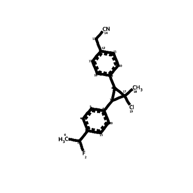 CC(F)c1ccc(C2C(c3ccc(CC#N)cc3)C2(C)Cl)cc1